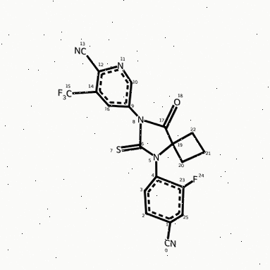 N#Cc1ccc(N2C(=S)N(c3cnc(C#N)c(C(F)(F)F)c3)C(=O)C23CCC3)c(F)c1